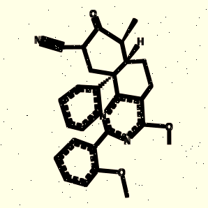 COc1ccccc1-c1nc(OC)c2c(n1)[C@@]1(c3ccccc3)CC(C#N)C(=O)[C@@H](C)[C@@H]1CC2